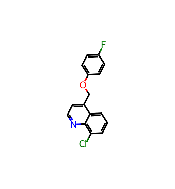 Fc1ccc(OCc2ccnc3c(Cl)cccc23)cc1